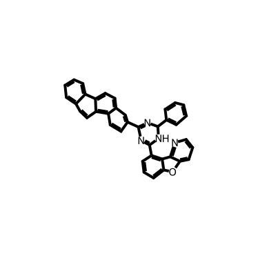 c1ccc(C2N=C(c3ccc4c(ccc5c6ccccc6ccc45)c3)N=C(c3cccc4oc5cccnc5c34)N2)cc1